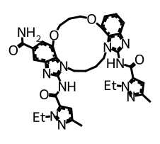 CCn1nc(C)cc1C(=O)Nc1nc2cccc3c2n1CCCCn1c(NC(=O)c2cc(C)nn2CC)nc2cc(C(N)=O)cc(c21)OCCCO3